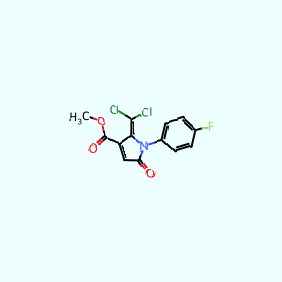 COC(=O)C1=CC(=O)N(c2ccc(F)cc2)C1=C(Cl)Cl